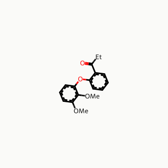 CCC(=O)c1ccccc1Oc1cccc(OC)c1OC